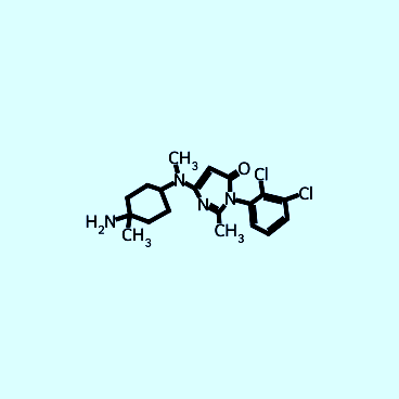 Cc1nc(N(C)C2CCC(C)(N)CC2)cc(=O)n1-c1cccc(Cl)c1Cl